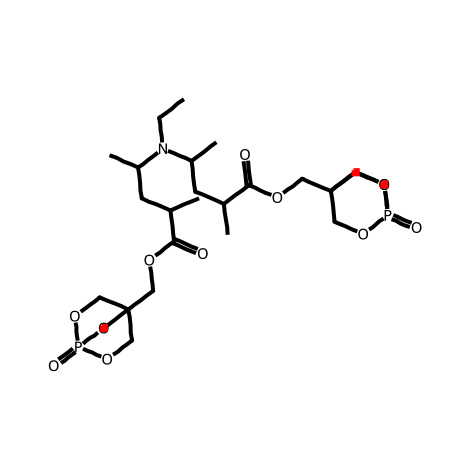 CCN(C(C)CC(C)C(=O)OCC12COP(=O)(OC1)OC2)C(C)CC(C)C(=O)OCC12COP(=O)(OC1)OC2